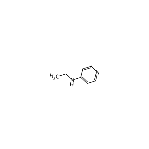 CCNc1c[c]ncc1